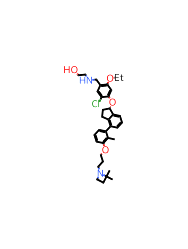 CCOc1cc(O[C@H]2CCc3c(-c4cccc(OCCCN5CCC5(C)C)c4C)cccc32)c(Cl)cc1CNCCO